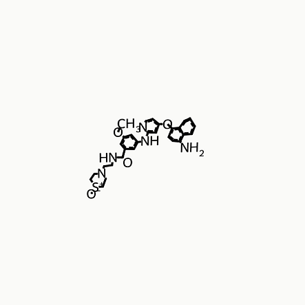 COc1cc(Nc2cc(Oc3ccc(N)c4ccccc34)ccn2)cc(C(=O)NCCN2CC[S+]([O-])CC2)c1